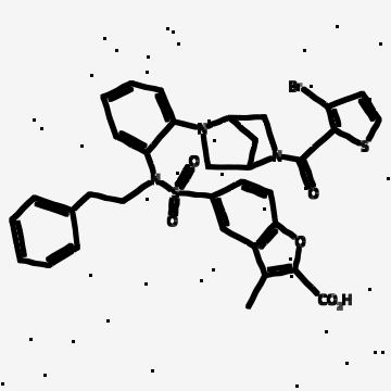 Cc1c(C(=O)O)oc2ccc(S(=O)(=O)N(CCc3ccccc3)c3ccccc3N3CC4CC3CN4C(=O)c3sccc3Br)cc12